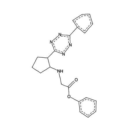 O=C(CNC1CCCC1c1nnc(-c2ccccc2)nn1)Oc1ccccc1